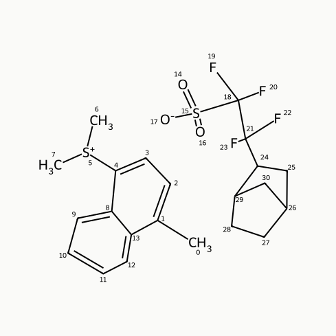 Cc1ccc([S+](C)C)c2ccccc12.O=S(=O)([O-])C(F)(F)C(F)(F)C1CC2CCC1C2